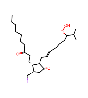 CCCCCCCC(=O)CC[C@H]1[C@H](CI)CC(=O)[C@@H]1CC=CCCCC(OO)C(C)C